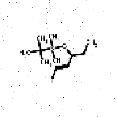 CCC(C=CI)O[Si](C)(C)C(C)(C)C